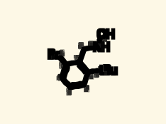 CC(C)(C)c1cccc(Br)c1CNO